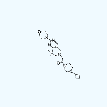 CC1(C)CN(CC(=O)N2CCN(C3CCC3)CC2)Cc2cnc(N3CCOCC3)nc21